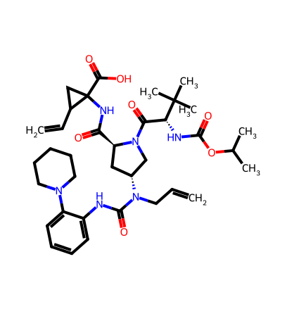 C=CCN(C(=O)Nc1ccccc1N1CCCCC1)[C@@H]1C[C@@H](C(=O)NC2(C(=O)O)CC2C=C)N(C(=O)[C@@H](NC(=O)OC(C)C)C(C)(C)C)C1